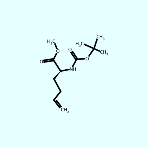 C=CCC[C@H](NC(=O)OC(C)(C)C)C(=O)OC